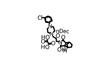 CCCCCCCCCCOC(CN1CCN(c2cccc(Cl)c2)CC1)CN1C(=O)C2C3CC[C@@H](C3)[C@@H]2C1=O.O=C(O)C(=O)O